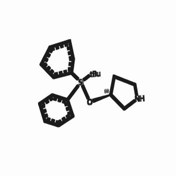 CC(C)(C)[Si](O[C@H]1CCNC1)(c1ccccc1)c1ccccc1